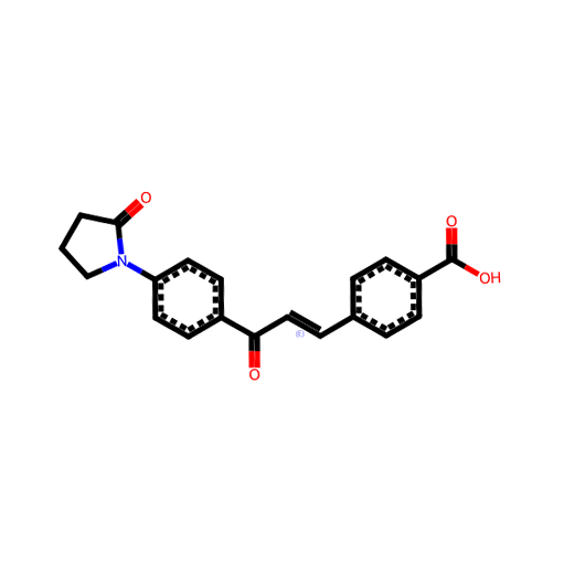 O=C(O)c1ccc(/C=C/C(=O)c2ccc(N3CCCC3=O)cc2)cc1